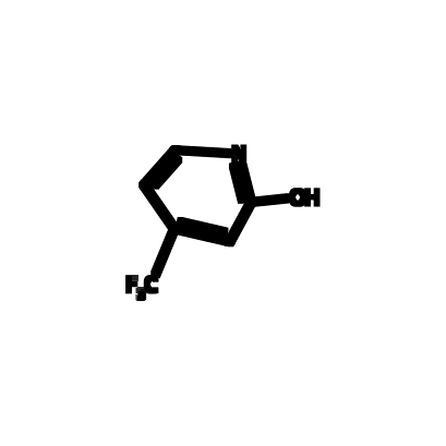 Oc1cc(C(F)(F)F)ccn1